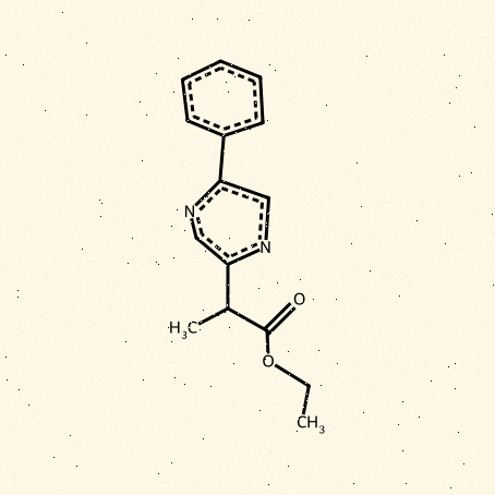 CCOC(=O)C(C)c1cnc(-c2ccccc2)cn1